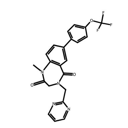 CN1C(=O)CN(Cc2ncccn2)C(=O)c2cc(-c3ccc(OC(F)(F)F)cc3)ccc21